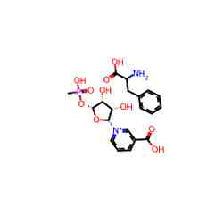 CP(=O)(O)O[C@H]1O[C@@H]([n+]2cccc(C(=O)O)c2)[C@@H](O)[C@H]1O.NC(Cc1ccccc1)C(=O)O